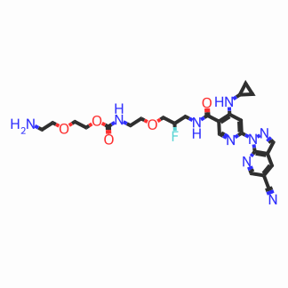 N#Cc1cnc2c(cnn2-c2cc(NC3CC3)c(C(=O)NCC(F)COCCNC(=O)OCCOCCN)cn2)c1